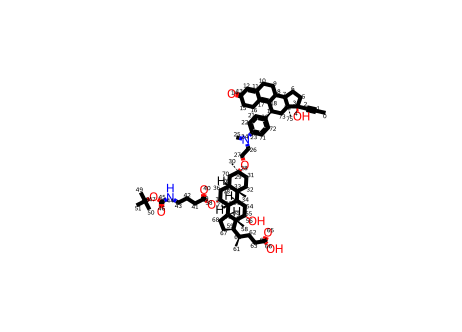 CC#C[C@@]1(O)CCC2C3CCC4=CC(=O)CCC4=C3[C@H](c3ccc(N(C)CCO[C@@]4(C)CC[C@@]5(C)[C@H](C[C@@H](OC(=O)CCCNC(=O)OC(C)(C)C)[C@@H]6[C@@H]5C[C@H](O)[C@]5(C)[C@@H]([C@H](C)CCC(=O)O)CC[C@@H]65)C4)cc3)C[C@@]21C